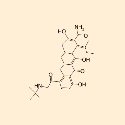 CC/C(C)=C1/C(C(N)=O)=C(O)CC2CC3Cc4c(C(=O)CNC(C)(C)C)ccc(O)c4C(=O)C3=C(O)C12